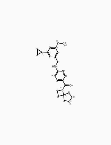 O=C(c1cnc(NCc2cc(OC(F)(F)F)cc(C3CC3)c2)nc1)N1CCC12CCOC2